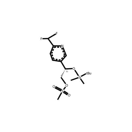 CC(C)(C)[Si](C)(C)O[C@H](COS(C)(=O)=O)c1ccc(C(F)F)nc1